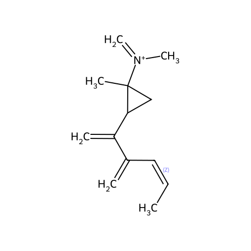 C=C(/C=C\C)C(=C)C1CC1(C)[N+](=C)C